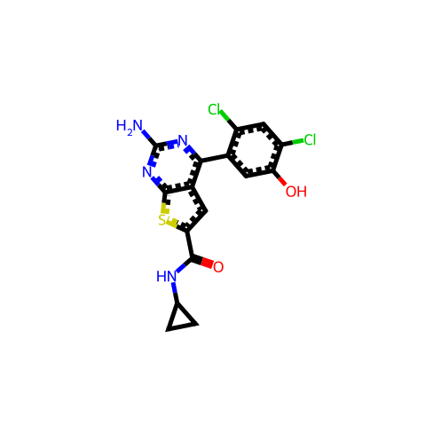 Nc1nc(-c2cc(O)c(Cl)cc2Cl)c2cc(C(=O)NC3CC3)sc2n1